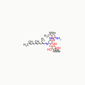 CNC(C)C1CCC(N)C(OC2C(N)C[C@H](N=C/C=C(\C)CC/C=C(\C)CCC=C(C)C)C(OC3OCC(C)(O)C(NC)C3O)C2O)O1